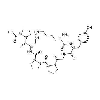 NCCCC[C@H](N)C(=O)N[C@@H](Cc1ccc(O)cc1)C(=O)NCC(=O)N1CCC[C@H]1C(=O)N1CCC[C@H]1C(=O)N[C@@H](CS)C(=O)N1CCC[C@H]1C(=O)O